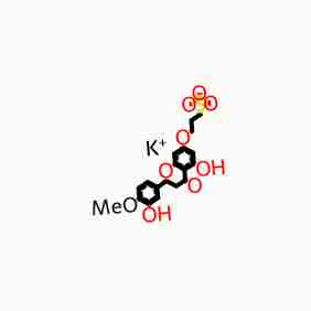 COc1ccc(C2CC(=O)c3c(O)cc(OCCCS(=O)(=O)[O-])cc3O2)cc1O.[K+]